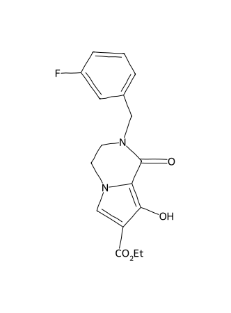 CCOC(=O)c1cn2c(c1O)C(=O)N(Cc1cccc(F)c1)CC2